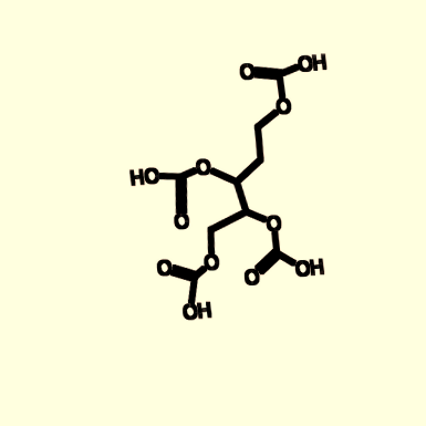 O=C(O)OCCC(OC(=O)O)C(COC(=O)O)OC(=O)O